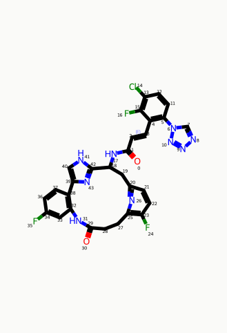 O=C(/C=C/c1c(-n2cnnn2)ccc(Cl)c1F)NC1Cc2ccc(F)c(n2)CCC(=O)Nc2cc(F)ccc2-c2c[nH]c1n2